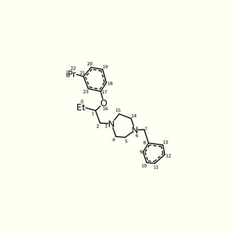 CCC(CN1CCN(Cc2ccccc2)CC1)Oc1cccc(C(C)C)c1